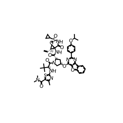 C=C[C@@H]1C[C@]1(NC(=O)[C@@H]1C[C@@H](Oc2nc(-c3ccc(OC(C)C)cc3)nc3c2oc2ccccc23)CN1C(=O)[C@@H](Nc1nc(C)c(C(=O)N(C)C)s1)C(C)(C)C)C(=O)NS(=O)(=O)C1CC1